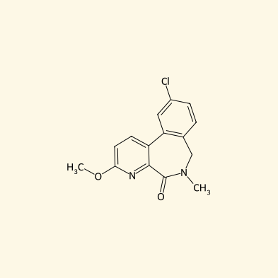 COc1ccc2c(n1)C(=O)N(C)Cc1ccc(Cl)cc1-2